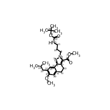 COC(=O)c1c2c(nn1CCCNC(=O)OC(C)(C)C)-c1cc(CC(C)C)c(OC)cc1CC2